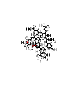 CCC(C)C(NC(=O)C(CCC(=O)O)NC(=O)C(CCC(=O)O)NC(=O)C(CCC(=O)O)NC(=O)C(N)Cc1ccc(O)cc1)C(=O)NC(CCCNC(=N)N)C(=O)NC(C(=O)O)C(C)C